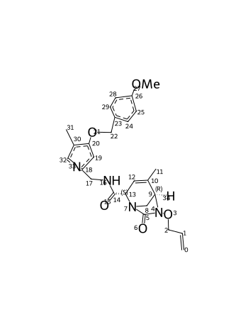 C=CCON1C(=O)N2C[C@H]1C(C)=C[C@H]2C(=O)NCc1cc(OCc2ccc(OC)cc2)c(C)cn1